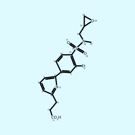 CCc1cc(-c2cccc(CCC(=O)O)n2)ccc1S(=O)(=O)N(C)CC1CO1